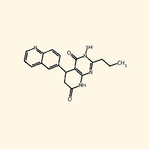 CCCc1nc2c(c(=O)n1S)C(c1ccc3ncccc3c1)CC(=O)N2